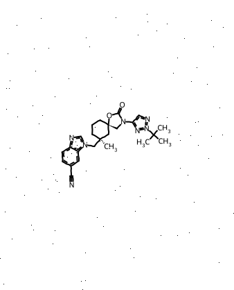 CC(C)(C)n1ncc(N2C[C@@]3(CCC[C@](C)(Cn4cnc5ccc(C#N)cc54)C3)OC2=O)n1